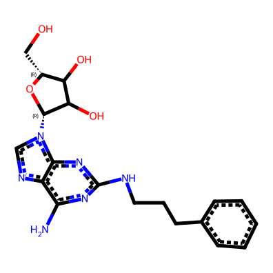 Nc1nc(NCCCc2ccccc2)nc2c1ncn2[C@@H]1O[C@H](CO)C(O)C1O